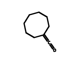 O=C=C1CCCCCCC1